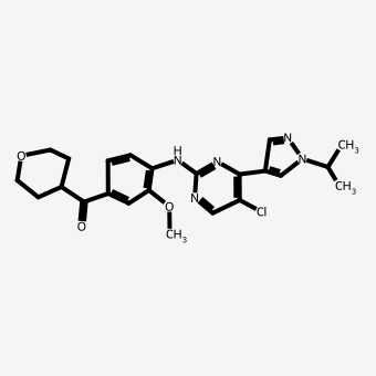 COc1cc(C(=O)C2CCOCC2)ccc1Nc1ncc(Cl)c(-c2cnn(C(C)C)c2)n1